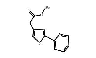 CC(C)(C)OC(=O)Cc1csc(-c2ccccn2)c1